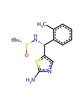 Cc1ccccc1[C@@H](N[S@+]([O-])C(C)(C)C)c1cnc(N)s1